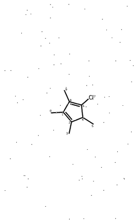 CC1=C(C)C(C)C(Cl)=C1C